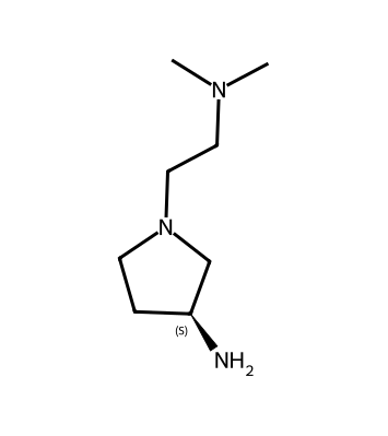 CN(C)CCN1CC[C@H](N)C1